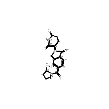 O=C1CCC(N2Cc3cc(C(=O)N4CCC[C@H]4C(=O)O)ccc3C2=O)C(=O)N1